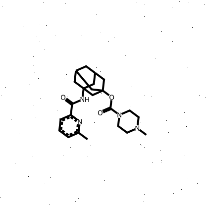 Cc1cccc(C(=O)NC23CC4CC(C2)CC(OC(=O)N2CCN(C)CC2)(C4)C3)n1